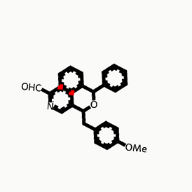 COc1ccc(CC(OC(c2ccccc2)c2ccccc2)c2ccc(C=O)nc2)cc1